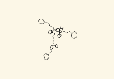 O=C(CCCCP(=O)(CCCc1ccccc1)O[PH](=O)CCCc1ccccc1)OCc1ccccc1